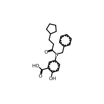 O=C(O)c1cc(N(Cc2ccccc2)C(=O)CCC2CCCC2)ccc1O